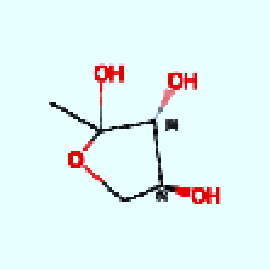 CC1(O)OC[C@H](O)[C@H]1O